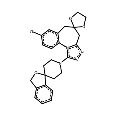 Clc1ccc2c(c1)CC1(Cc3nnc(N4CCC5(CC4)OCc4ccccc45)n3-2)OCCO1